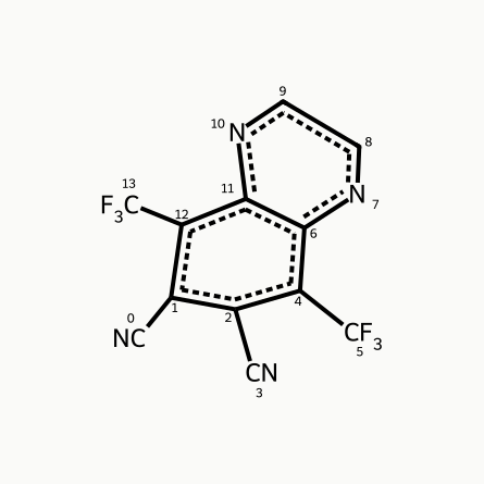 N#Cc1c(C#N)c(C(F)(F)F)c2nccnc2c1C(F)(F)F